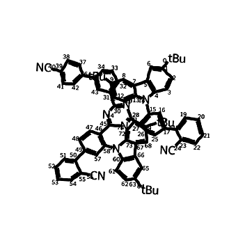 CC(C)(C)c1ccc2c(c1)c1cc(C(C)(C)C)ccc1n2-c1cc(-c2ccccc2C#N)ccc1-c1nc(-c2cccc(-c3ccc(C#N)cc3)c2)nc(-c2ccc(-c3ccccc3C#N)cc2-n2c3ccc(C(C)(C)C)cc3c3cc(C(C)(C)C)ccc32)n1